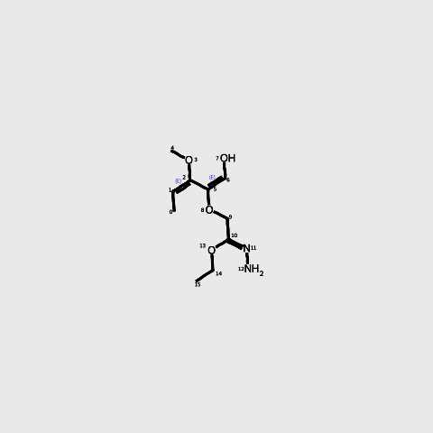 C/C=C(OC)\C(=C/O)OCC(=NN)OCC